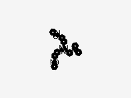 c1cc(-c2nc(-c3ccc4ccc(-c5nc6ccccc6o5)cc4c3)nc(-c3ccc4ccc(-c5nc6ccccc6o5)cc4c3)n2)cc(-n2c3ccccc3c3ccccc32)c1